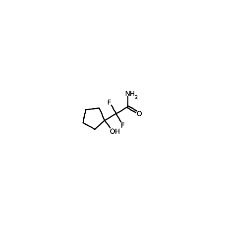 NC(=O)C(F)(F)C1(O)CCCC1